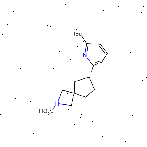 CC(C)(C)c1cccc([C@@H]2CCC3(C2)CN(C(=O)O)C3)n1